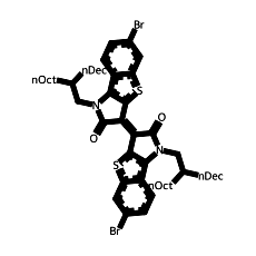 CCCCCCCCCCC(CCCCCCCC)CN1C(=O)C(=C2C(=O)N(CC(CCCCCCCC)CCCCCCCCCC)c3c2sc2cc(Br)ccc32)c2sc3cc(Br)ccc3c21